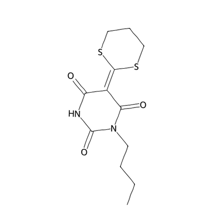 CCCCN1C(=O)NC(=O)C(=C2SCCCS2)C1=O